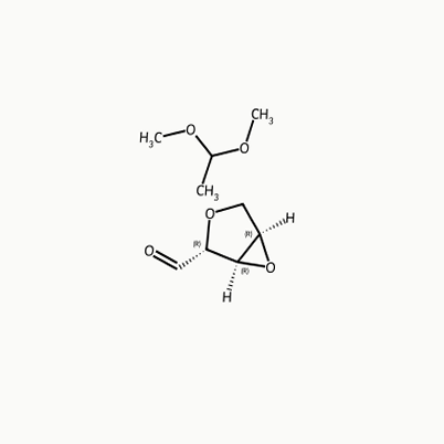 COC(C)OC.O=C[C@@H]1OC[C@H]2O[C@@H]12